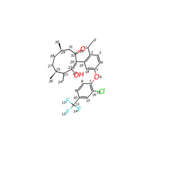 CCc1ccc(Oc2ccc(C(F)(F)F)cc2Cl)cc1/C1=C(\O)C(C)[C@@H](C)CC[C@@H](C)CC1=O